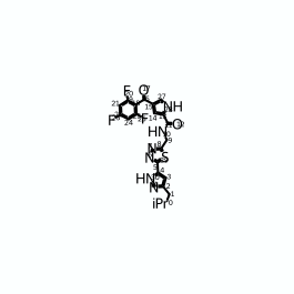 CC(C)Cc1cc(-c2nnc(CNC(=O)c3cc(C(=O)c4c(F)cc(F)cc4F)c[nH]3)s2)[nH]n1